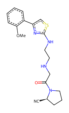 COc1ccccc1-c1csc(NCCNCC(=O)N2CCC[C@H]2C#N)n1